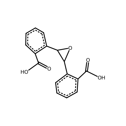 O=C(O)c1ccccc1C1OC1c1ccccc1C(=O)O